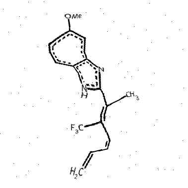 C=C/C=C\C(=C(/C)c1nc2cc(OC)ccc2[nH]1)C(F)(F)F